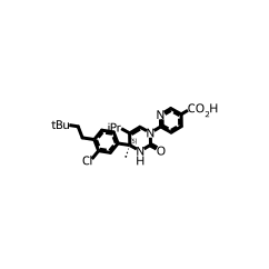 CC(C)C1=CN(c2ccc(C(=O)O)cn2)C(=O)N[C@@]1(C)c1ccc(CCC(C)(C)C)c(Cl)c1